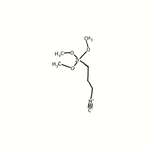 [C-]#[N+]CC[CH2][Zr]([O]C)([O]C)[O]C